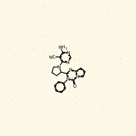 N#Cc1c(N)ncnc1N1CCCC1c1nc2cccn2c(=O)n1-c1ccccc1